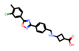 Cc1ccc(-c2nc(-c3ccc(CNC4CC(C(=O)O)C4)cc3)no2)cc1Cl